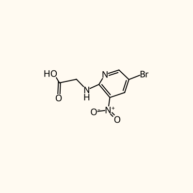 O=C(O)CNc1ncc(Br)cc1[N+](=O)[O-]